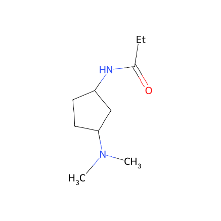 CCC(=O)NC1CCC(N(C)C)C1